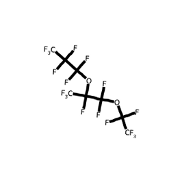 FC(F)(F)C(F)(F)OC(F)(F)C(F)(OC(F)(F)C(F)(F)C(F)(F)F)C(F)(F)F